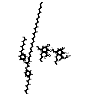 CCCCCCCCCCCCCCCCCCCCCCCC=CC(C=Nc1ccc(CCCCCCC)cc1)=Nc1ccc(CCCCCCC)cc1.CCCCc1c(CC)cc(O)c(O)c1C(=O)[O-].CCCCc1c(CC)cc(O)c(O)c1C(=O)[O-].[Ni+2]